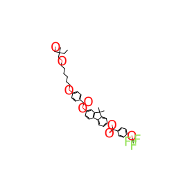 CCC1(COCCCCCCOc2ccc(C(=O)Oc3ccc4c(c3)C(C)(C)c3cc(OC(=O)c5ccc(OC(F)(F)F)cc5)ccc3-4)cc2)COC1